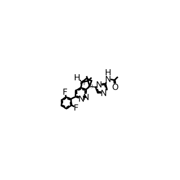 CC(=O)Nc1cncc([C@@]23CC[C@@H](c4cc(-c5c(F)cccc5F)nnc42)C3(C)C)n1